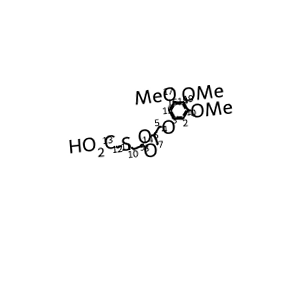 COc1cc(OCC2COC(CSCC(=O)O)O2)cc(OC)c1OC